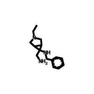 CCN1CC2C(C1)C2(CN)NCc1ccccc1